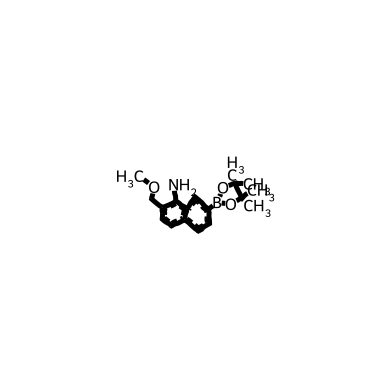 COCc1ccc2ccc(B3OC(C)(C)C(C)(C)O3)cc2c1N